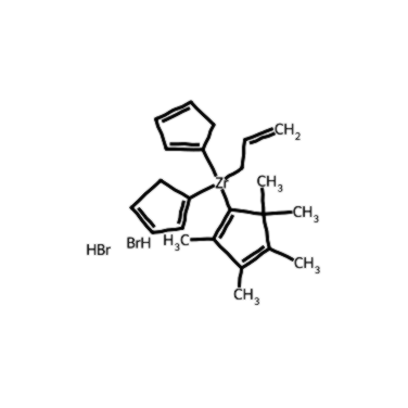 Br.Br.C=C[CH2][Zr]([C]1=CC=CC1)([C]1=CC=CC1)[C]1=C(C)C(C)=C(C)C1(C)C